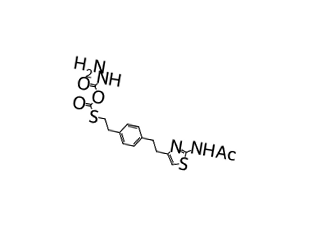 CC(=O)Nc1nc(CCc2ccc(CCSC(=O)OC(=O)NN)cc2)cs1